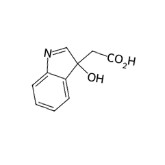 O=C(O)CC1(O)C=Nc2ccccc21